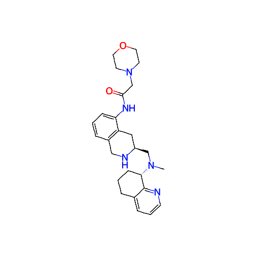 CN(C[C@@H]1Cc2c(cccc2NC(=O)CN2CCOCC2)CN1)[C@H]1CCCc2cccnc21